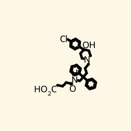 O=C(O)CCCC(=O)NCC(CCCN1CCC(O)(c2ccc(Cl)cc2)CC1)(c1ccccc1)c1ccccc1